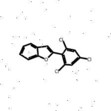 Clc1cc(Cl)c(-c2cc3ccccc3o2)c(Cl)c1